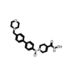 O=C(NO)C1=CCN([S+]([O-])c2ccc(-c3ccc(CN4CCOCC4)cc3)cc2)CC1